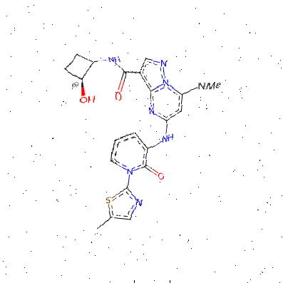 CNc1cc(Nc2cccn(-c3ncc(C)s3)c2=O)nc2c(C(=O)NC3CC[C@@H]3O)cnn12